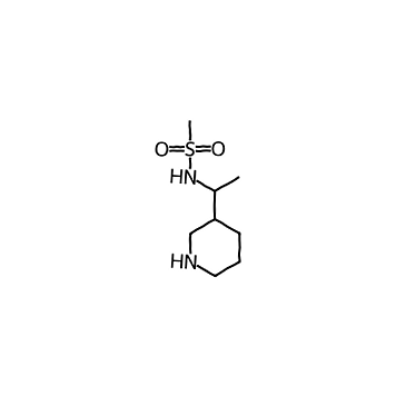 CC(NS(C)(=O)=O)C1CCCNC1